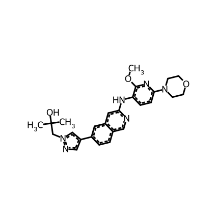 COc1nc(N2CCOCC2)ccc1Nc1cc2cc(-c3cnn(CC(C)(C)O)c3)ccc2cn1